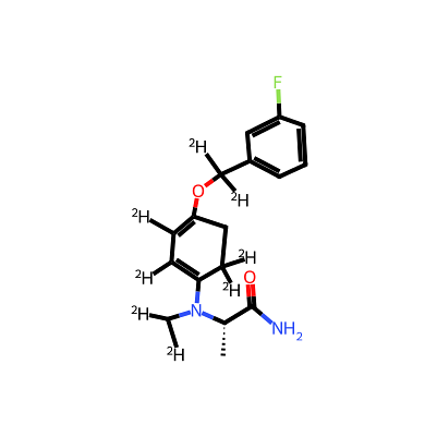 [2H]C1=C(OC([2H])([2H])c2cccc(F)c2)CC([2H])([2H])C(N(C([2H])[2H])[C@@H](C)C(N)=O)=C1[2H]